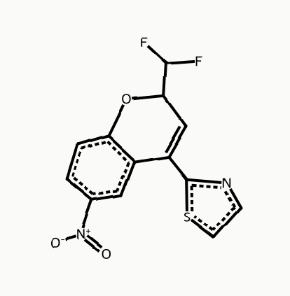 O=[N+]([O-])c1ccc2c(c1)C(c1nccs1)=CC(C(F)F)O2